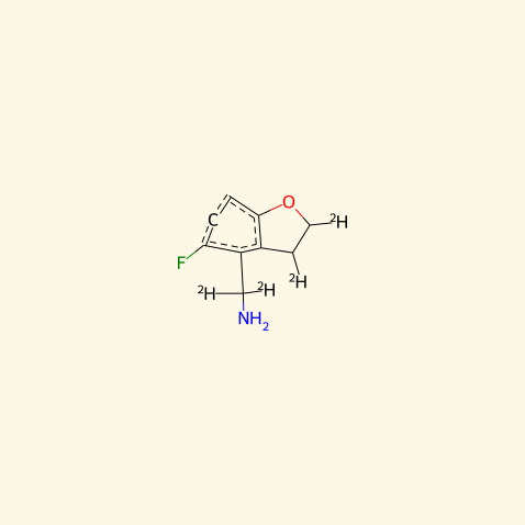 [2H]C1Oc2ccc(F)c(C([2H])([2H])N)c2C1[2H]